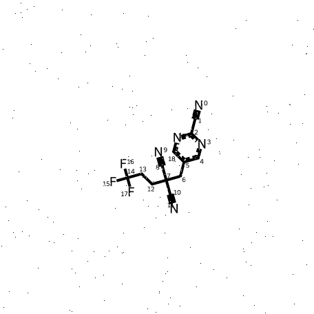 N#Cc1ncc(CC(C#N)(C#N)CCC(F)(F)F)cn1